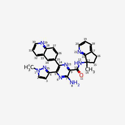 Cn1ccc(-c2nc(N)c(C(=O)NC3(C)CCc4cccnc43)nc2-c2ccc3ncccc3c2)n1